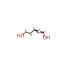 OC=C=CCCO